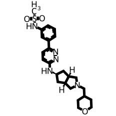 CS(=O)(=O)Nc1cccc(-c2ccc(N[C@H]3C[C@@H]4CN(CC5CCOCC5)C[C@@H]4C3)nn2)c1